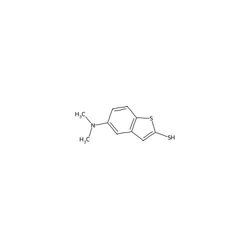 CN(C)c1ccc2sc(S)cc2c1